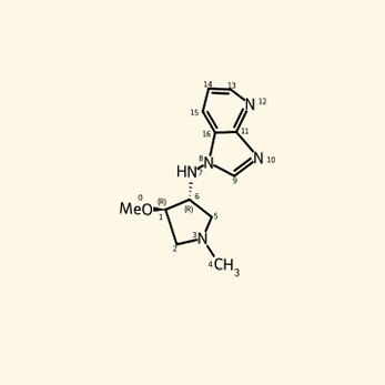 CO[C@@H]1CN(C)C[C@H]1Nn1cnc2ncccc21